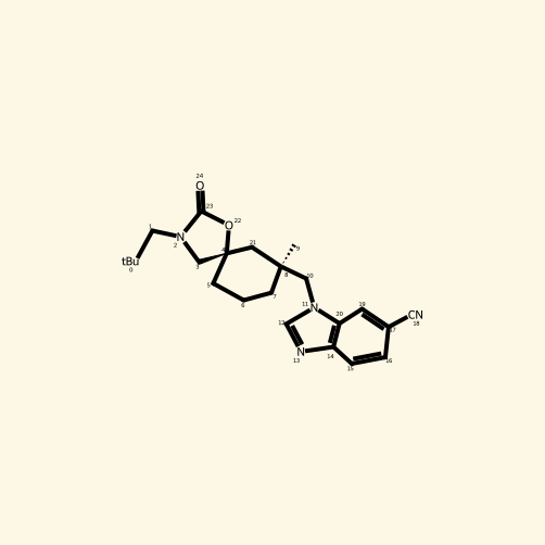 CC(C)(C)CN1C[C@@]2(CCC[C@](C)(Cn3cnc4ccc(C#N)cc43)C2)OC1=O